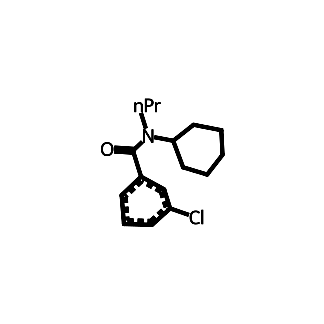 CCCN(C(=O)c1cccc(Cl)c1)C1CCCCC1